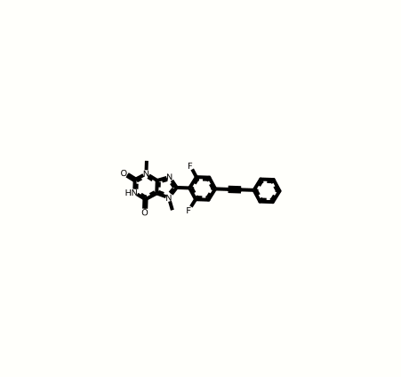 Cn1c(-c2c(F)cc(C#Cc3ccccc3)cc2F)nc2c1c(=O)[nH]c(=O)n2C